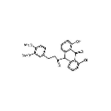 COc1ccc(CCC(=O)C2c3cccc(O)c3C(=O)c3c(O)cccc32)cc1OC